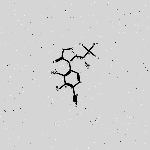 Cc1c(N2C(=O)CC[C@@H]2[C@@H](O)C(F)(F)F)ccc(C#N)c1Cl